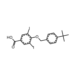 CC(C)(C)c1ccc(COc2c(I)cc(C(=O)O)cc2I)cc1